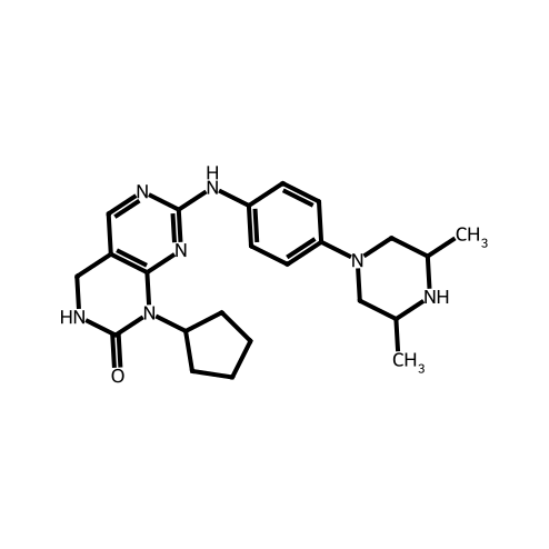 CC1CN(c2ccc(Nc3ncc4c(n3)N(C3CCCC3)C(=O)NC4)cc2)CC(C)N1